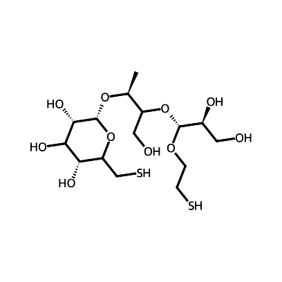 C[C@H](O[C@@H]1OC(CS)[C@H](O)C(O)[C@@H]1O)C(CO)O[C@@H](OCCS)[C@@H](O)CO